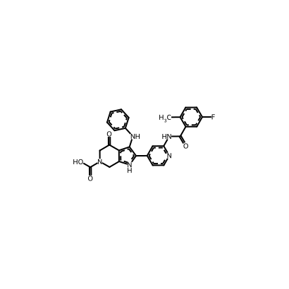 Cc1ccc(F)cc1C(=O)Nc1cc(-c2[nH]c3c(c2Nc2ccccc2)C(=O)CN(C(=O)O)C3)ccn1